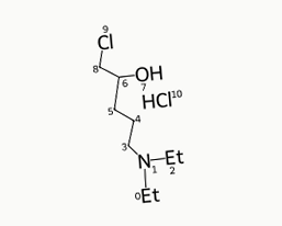 CCN(CC)CCCC(O)CCl.Cl